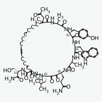 CC(=O)C[C@]1(C)CCCCCCC=CCCC[C@@](C)(C(=O)N[C@@H](CO)C(N)=O)NN[C@@H](CC(C)C)C(=O)C(=O)[C@H](CCC(N)=O)NC(=O)C(C)NC(=O)[C@H](Cc2c[nH]c3ccccc23)NC(=O)[C@H](Cc2ccc(O)cc2)NC(=O)C(C)NC1=O